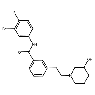 O=C(Nc1ccc(F)c(Br)c1)c1cccc(CCN2CCCC(O)C2)c1